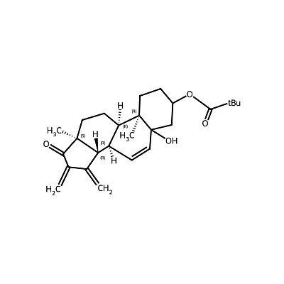 C=C1C(=C)[C@H]2[C@@H]3C=CC4(O)CC(OC(=O)C(C)(C)C)CC[C@]4(C)[C@@H]3CC[C@]2(C)C1=O